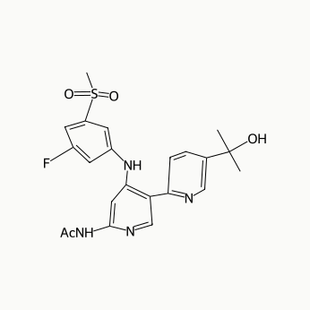 CC(=O)Nc1cc(Nc2cc(F)cc(S(C)(=O)=O)c2)c(-c2ccc(C(C)(C)O)cn2)cn1